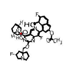 C#Cc1c(F)ccc2cc(OC(C)=O)cc(-c3ncc4c(N5C[C@H]6CC[C@@H](C5)N6C(=O)O)nc(OC[C@@]56CCCN5C[C@H](F)C6)nc4c3F)c12